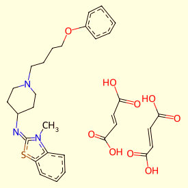 Cn1c(=NC2CCN(CCCCOc3ccccc3)CC2)sc2ccccc21.O=C(O)C=CC(=O)O.O=C(O)C=CC(=O)O